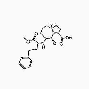 COC(=O)C(CCc1ccccc1)N[C@H]1CCC[C@@H]2SC[C@@H](C(=O)O)N2C1=O